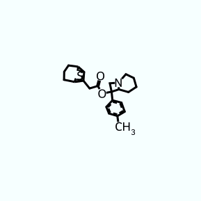 Cc1ccc(C2(OC(=O)Cc3cc4sc3CCC4)CN3CCCCC32)cc1